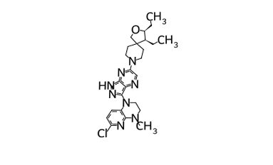 CC[C@@H]1OCC2(CCN(c3cnc4c(N5CCN(C)c6nc(Cl)ccc65)n[nH]c4n3)CC2)[C@@H]1CC